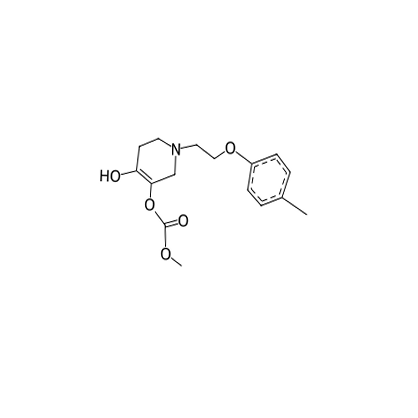 COC(=O)OC1=C(O)CCN(CCOc2ccc(C)cc2)C1